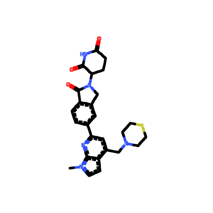 Cn1ccc2c(CN3CCSCC3)cc(-c3ccc4c(c3)CN(C3CCC(=O)NC3=O)C4=O)nc21